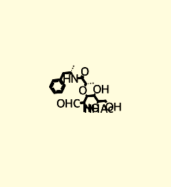 CC(=O)N[C@@H](C=O)[C@@H](O[C@@H](C)C(=O)N[C@@H](C)Cc1ccccc1)[C@@H](O)[C@H](O)CO